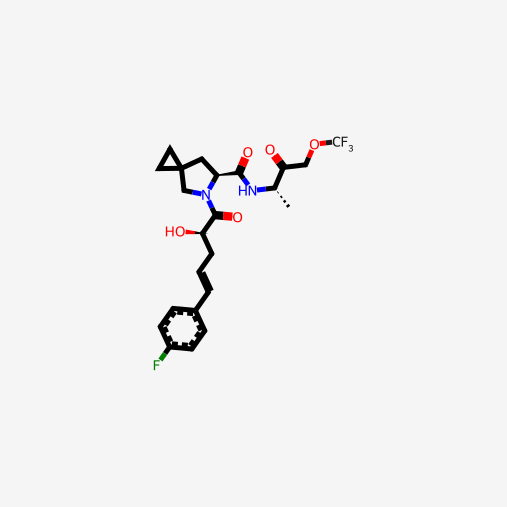 C[C@H](NC(=O)[C@@H]1CC2(CC2)CN1C(=O)[C@H](O)C/C=C/c1ccc(F)cc1)C(=O)COC(F)(F)F